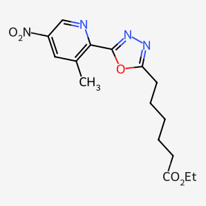 CCOC(=O)CCCCCc1nnc(-c2ncc([N+](=O)[O-])cc2C)o1